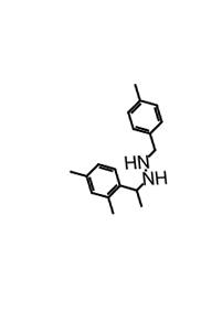 Cc1ccc(CNNC(C)c2ccc(C)cc2C)cc1